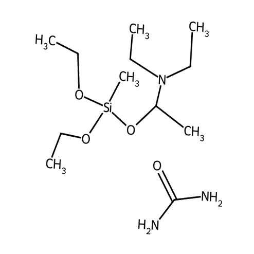 CCO[Si](C)(OCC)OC(C)N(CC)CC.NC(N)=O